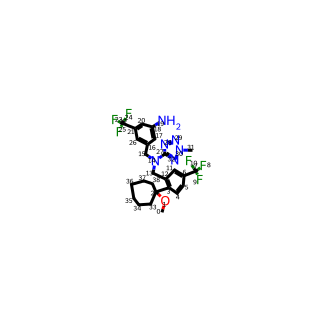 COC1(c2ccc(C(F)(F)F)cc2CN(Cc2cc(N)cc(C(F)(F)F)c2)c2nnn(C)n2)CCCCCC1